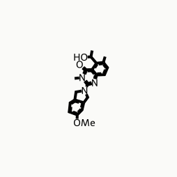 COc1ccc2c(c1)CN(c1nc3ccc(C)c(C(C)O)c3c(=O)n1C)C2